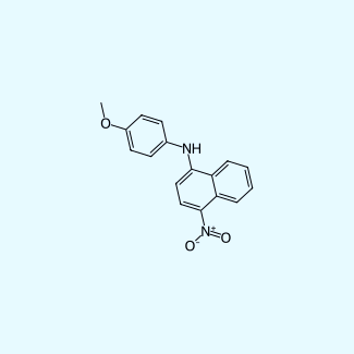 COc1ccc(Nc2ccc([N+](=O)[O-])c3ccccc23)cc1